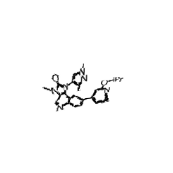 Cc1nn(C)cc1-n1c(=O)n(C)c2cnc3ccc(-c4ccnc(OC(C)C)c4)cc3c21